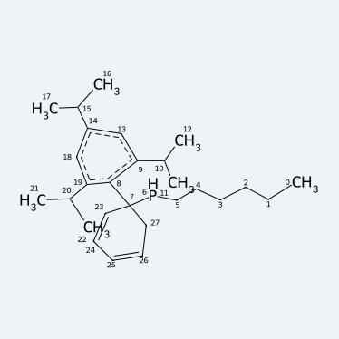 CCCCCCPC1(c2c(C(C)C)cc(C(C)C)cc2C(C)C)C=CC=CC1